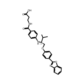 CC(C)[C@@H](COc1ccc(-c2nc3ccccc3o2)cc1)Nc1ccc(C(=O)NCCC(=O)O)cc1